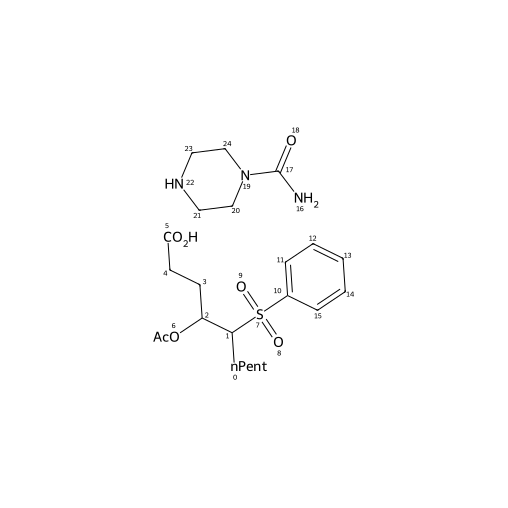 CCCCCC(C(CCC(=O)O)OC(C)=O)S(=O)(=O)c1ccccc1.NC(=O)N1CCNCC1